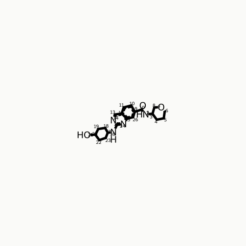 O=C(NC1CCCOC1)c1ccc2cnc(NC3CCC(O)CC3)nc2c1